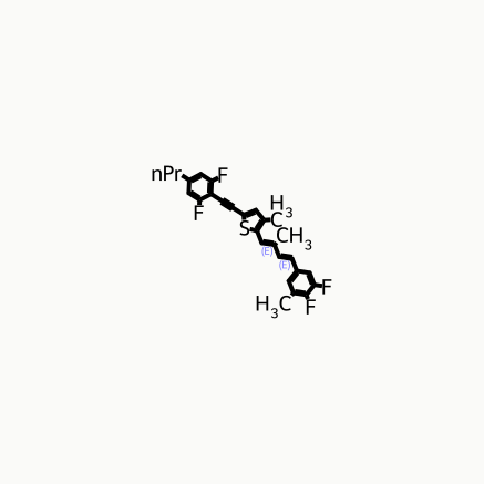 CCCc1cc(F)c(C#Cc2cc(C)c(/C=C(C)/C=C/c3cc(C)c(F)c(F)c3)s2)c(F)c1